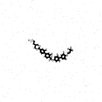 CCCC1COC(c2ccc(-c3ccc(C(F)(F)Oc4cc(F)c(-c5cc(F)c(O/C=C/C(F)(F)F)c(F)c5)c(F)c4)c(F)c3)c(F)c2)OC1